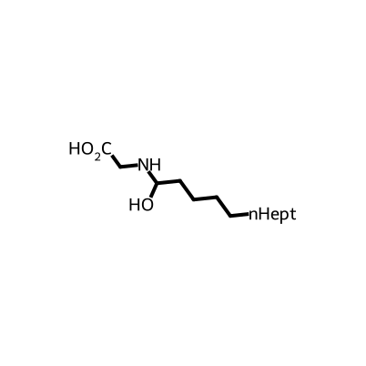 CCCCCCCCCCCC(O)NCC(=O)O